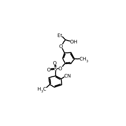 CCC(O)Oc1cc(C)cc(OS(=O)(=O)c2cc(C)ccc2C#N)c1